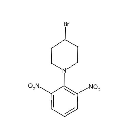 O=[N+]([O-])c1cccc([N+](=O)[O-])c1N1CCC(Br)CC1